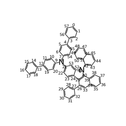 c1ccc(-c2ccc(N(c3ccc(-c4ccccc4)cc3)c3ccc4c5c(-c6ccccc6)cc6ccccc6c5n(-c5cccc6ccccc56)c4c3)cc2)cc1